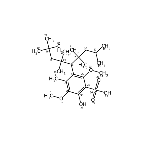 COc1c(C)c(C(C(C)(C)CC(C)C)C(C)(C)CC(C)(C)C)c(OC)c(S(=O)(=O)O)c1O